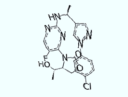 C[C@H](Nc1ncc(F)c(N2C(=O)OCC2[C@@H](C)O)n1)c1cnn(-c2ccc(Cl)cc2)c1